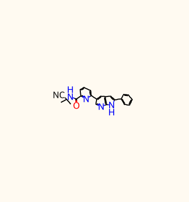 CC(C)(C#N)NC(=O)c1cccc(-c2cnc3[nH]c(-c4ccccc4)cc3c2)n1